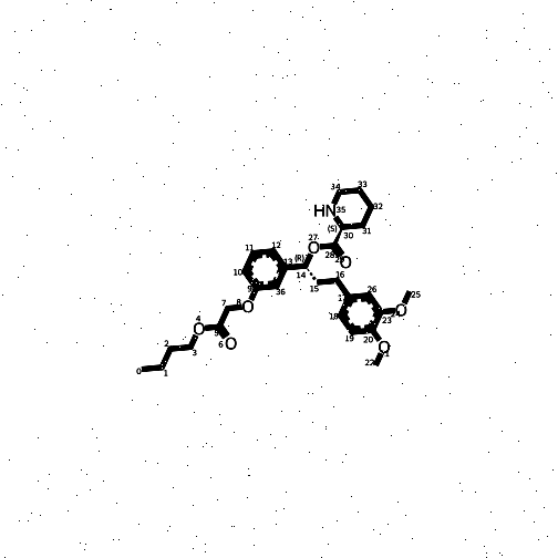 CCCCOC(=O)COc1cccc([C@@H](CCc2ccc(OC)c(OC)c2)OC(=O)[C@@H]2CCCCN2)c1